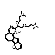 CN(C)CCOC(COCC[Si](C)(C)C)C1=NC=C2CC=CC3=C4OCC=CC4=CC3=C2N1